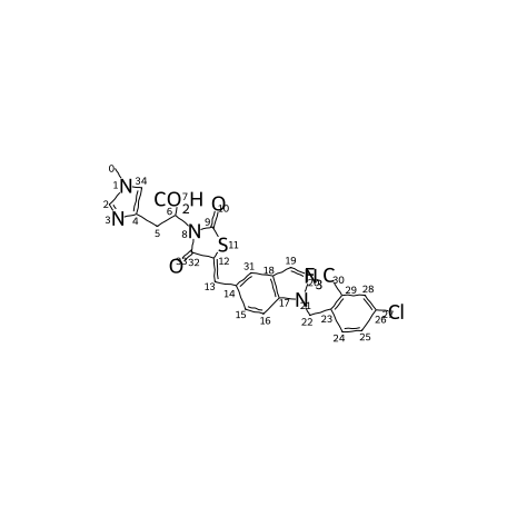 Cn1cnc(CC(C(=O)O)N2C(=O)SC(=Cc3ccc4c(cnn4Cc4ccc(Cl)cc4C(F)(F)F)c3)C2=O)c1